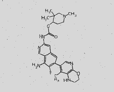 Cc1c(-c2cc3cc(NC(=O)OC4CCN(C)CC4(C)C)ncc3c(N)c2F)cnc2c1NCCO2